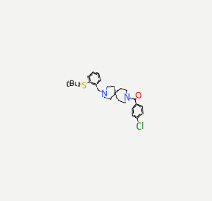 CC(C)(C)Sc1ccccc1CN1CCC2(CC1)CCN(C(=O)c1ccc(Cl)cc1)CC2